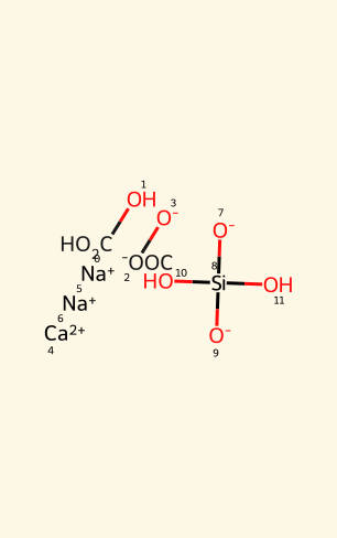 O=C(O)O.O=C([O-])[O-].[Ca+2].[Na+].[Na+].[O-][Si]([O-])(O)O